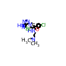 CCN(CC)CCCNC(=O)C1(c2ccc(Cl)cc2)CCN(c2ncnc3[nH]nc(Br)c23)CC1